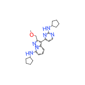 COCc1nn2c(NC3CCCC3)cccc2c1-c1ccnc(NC2CCCC2)n1